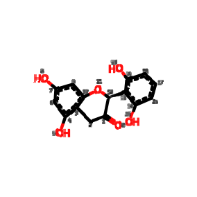 O=C1Cc2c(O)cc(O)cc2O[C@H]1c1c(O)cccc1O